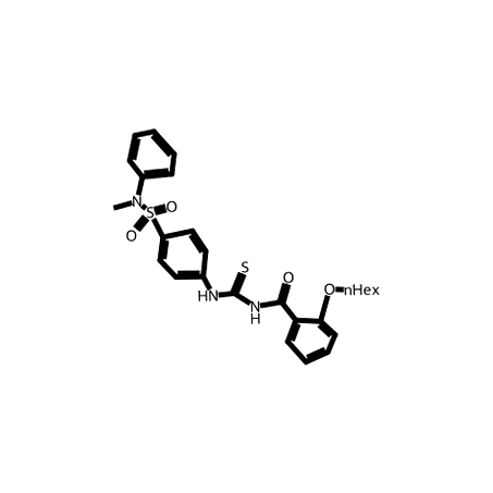 CCCCCCOc1ccccc1C(=O)NC(=S)Nc1ccc(S(=O)(=O)N(C)c2ccccc2)cc1